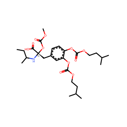 CCC(C)N[C@@](Cc1ccc(OC(=O)OCCC(C)C)c(OC(=O)OCCC(C)C)c1)(OC(=O)OC)C(=O)O